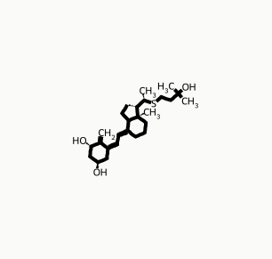 C=C1C(=CC=C2CCC[C@@]3(C)C2CC[C@@H]3[C@H](C)SCCC(C)(C)O)C[C@@H](O)C[C@@H]1O